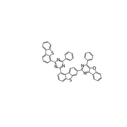 c1ccc(-c2nc(-c3cccc4c3sc3ccccc34)nc(-c3cccc4sc5cc(-c6nc(-c7ccccc7)c7oc8ccccc8c7n6)ccc5c34)n2)cc1